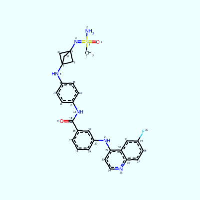 CS(N)(=O)=NC12CC(Nc3ccc(NC(=O)c4cccc(Nc5ccnc6ccc(F)cc56)c4)cc3)(C1)C2